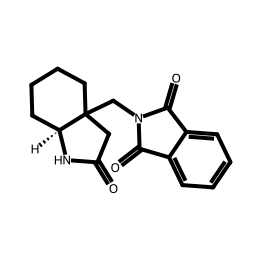 O=C1CC2(CN3C(=O)c4ccccc4C3=O)CCCC[C@@H]2N1